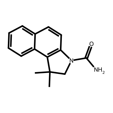 CC1(C)CN(C(N)=O)c2ccc3ccccc3c21